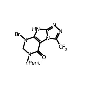 CCCCCN1CN(Br)c2[nH]c3nnc(C(F)(F)F)n3c2C1=O